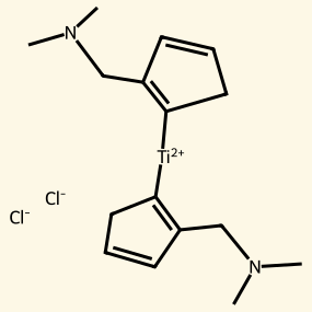 CN(C)CC1=[C]([Ti+2][C]2=C(CN(C)C)C=CC2)CC=C1.[Cl-].[Cl-]